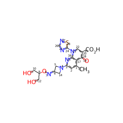 Cc1cc(N2CC(=NOC(CO)CO)C2)nc2c1c(=O)c(C(=O)O)cn2-c1ncns1